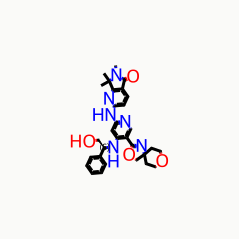 CN1C(=O)c2ccc(Nc3cc(N[C@H](CO)c4ccccc4)c(C4=NC5(CCOCC5)CO4)cn3)nc2C1(C)C